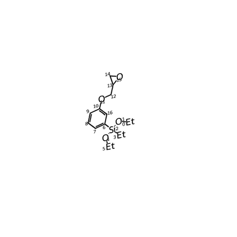 CCO[Si](CC)(OCC)c1cccc(OCC2CO2)c1